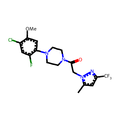 COc1cc(N2CCN(C(=O)Cn3nc(C(F)(F)F)cc3C)CC2)c(F)cc1Cl